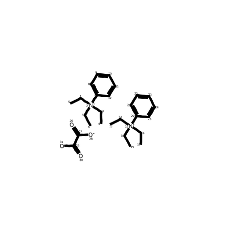 CC[N+](CC)(CC)c1ccccc1.CC[N+](CC)(CC)c1ccccc1.O=C([O-])C(=O)[O-]